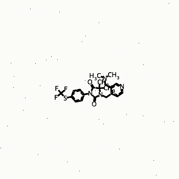 CN(C)Cc1cnccc1CN1C(=O)N(c2ccc(SC(F)(F)F)cc2)C(=O)C1(C)C